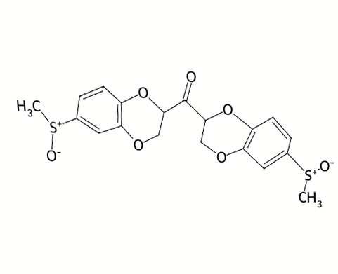 C[S+]([O-])c1ccc2c(c1)OCC(C(=O)C1COc3cc([S+](C)[O-])ccc3O1)O2